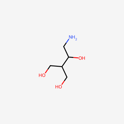 NCC(O)C(CO)CO